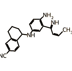 C/C=C\C(=N)c1cc(NC2CCCc3cc(C#N)ccc32)ccc1N